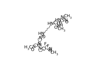 CC(=O)Nc1cc(NCCCCCCCNC(=O)CN2CCC(n3nc(N4CCCc5cc(-c6cnn(C)c6)c(C(F)F)cc54)c4c3CCN(C(C)=O)C4)CC2)ccc1C(=O)Nc1nc(C)c(N=O)s1